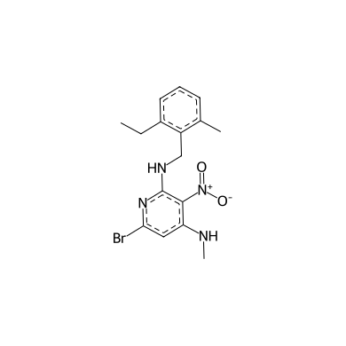 CCc1cccc(C)c1CNc1nc(Br)cc(NC)c1[N+](=O)[O-]